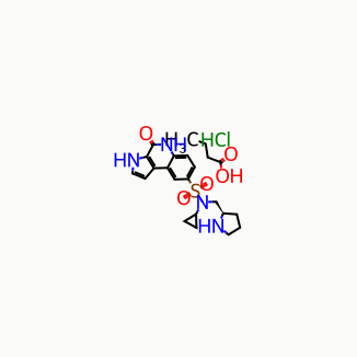 CCCC(=O)O.Cl.O=c1[nH]c2ccc(S(=O)(=O)N(C[C@H]3CCCN3)C3CC3)cc2c2cc[nH]c12